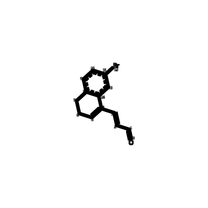 O=CC=CC1=CCCc2ccc(Br)cc21